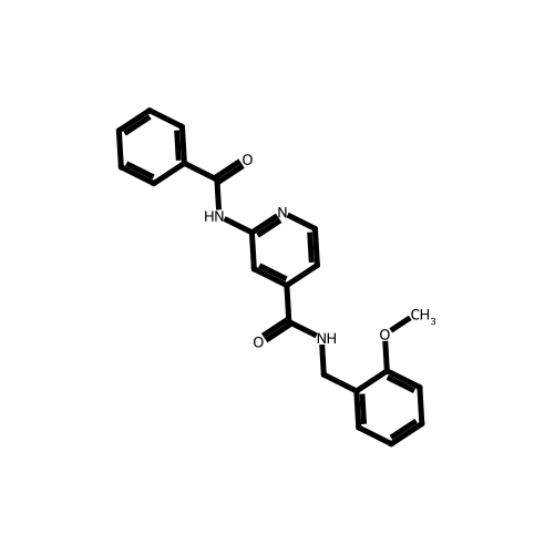 COc1ccccc1CNC(=O)c1ccnc(NC(=O)c2ccccc2)c1